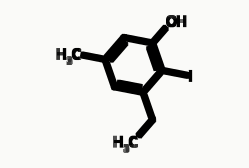 CCc1cc(C)cc(O)c1I